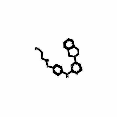 CC(C)CCNSc1ccc(Nc2nccc(N3CCc4ccccc4C3)n2)cc1